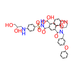 O=C(O)c1cc(C(=O)O)c(C(=O)N(Cc2cccc(Oc3ccccc3)c2)[C@H]2CCCc3ccccc32)cc1C(=O)NS(=O)(=O)c1ccc(NCC(O)CO)cc1